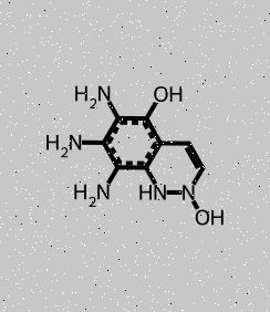 Nc1c(N)c(O)c2c(c1N)NN(O)C=C2